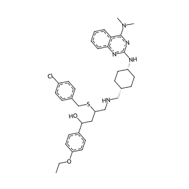 CCOc1ccc(C(O)CC(CNC[C@H]2CC[C@@H](Nc3nc(N(C)C)c4ccccc4n3)CC2)SCc2ccc(Cl)cc2)cc1